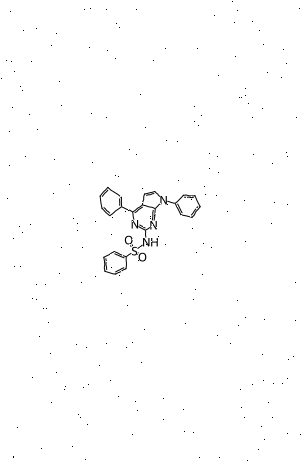 O=S(=O)(Nc1nc(-c2ccccc2)c2ccn(-c3ccccc3)c2n1)c1ccccc1